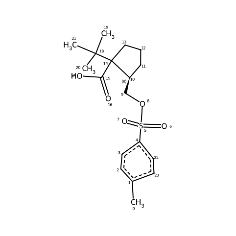 Cc1ccc(S(=O)(=O)OC[C@@H]2CCCC2(C(=O)O)C(C)(C)C)cc1